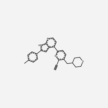 C#Cc1nc(-c2ccnc3[nH]c(-c4ccc(C)cc4)cc23)ccc1CC1CCOCC1